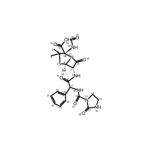 CC1(C)S[C@@H]2[C@@H](NC(=O)C(NC(=O)N3CCNC3=O)c3ccccc3)C(=O)N2[C@@]1(NC=O)C(=O)O